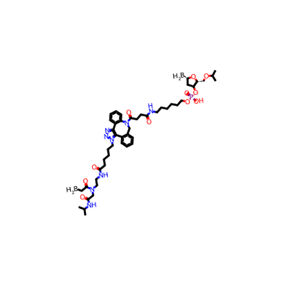 BCC(=O)N(CCNC(=O)CCCCCn1nnc2c1-c1ccccc1CN(C(=O)CCC(=O)NCCCCCCOP(=O)(O)OC1C[C@H](B)O[C@@H]1COC(C)C)c1ccccc1-2)CC(=O)NC(C)C